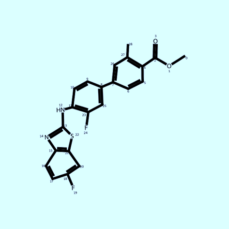 COC(=O)c1ccc(-c2ccc(Nc3nc4ccc(F)cc4s3)c(F)c2)cc1C